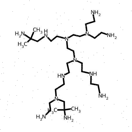 CC(C)(N)CNCCN(CCN(CCN)CCN)CCN(CCNCCN)CCNCCN(CCN)CC(C)(C)N